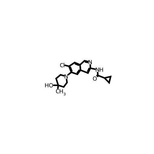 CC1(O)CCN(c2cc3cc(NC(=O)C4CC4)ncc3cc2Cl)CC1